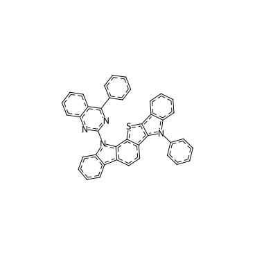 c1ccc(-c2nc(-n3c4ccccc4c4ccc5c(sc6c7ccccc7n(-c7ccccc7)c56)c43)nc3ccccc23)cc1